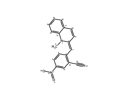 CN1C(=Cc2ccc([N+](=O)[O-])cc2C#N)C=Cc2ccccc21